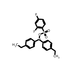 CCc1ccc([I+](OS(=O)(=O)c2ccc(F)cc2F)c2ccc(CC)cc2)cc1